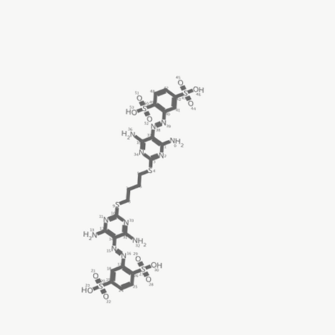 Nc1nc(SCCCCSc2nc(N)c(/N=N/c3cc(S(=O)(=O)O)ccc3S(=O)(=O)O)c(N)n2)nc(N)c1/N=N/c1cc(S(=O)(=O)O)ccc1S(=O)(=O)O